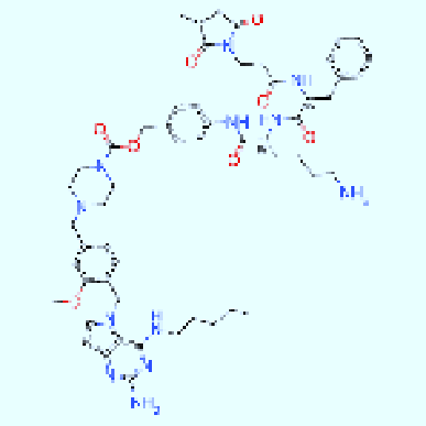 CCCCCNc1nc(N)nc2ccn(Cc3ccc(CN4CCN(C(=O)OCc5ccc(NC(=O)[C@@H](CCCCN)NC(=O)[C@H](Cc6ccccc6)NC(=O)CCN6C(=O)CC(C)C6=O)cc5)CC4)cc3OC)c12